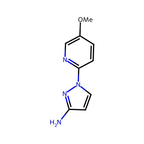 COc1ccc(-n2ccc(N)n2)nc1